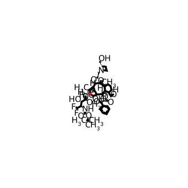 CC(=O)O[C@@]12CO[C@@H]1CC[C@@]1(C)[C@@H]3O[C@H](CN4CC[C@H]4CO)O[C@@H]3C3=C(C)[C@@H](OC(=O)[C@H](O)[C@@H](NC(=O)OC(C)(C)C)C(F)F)C[C@@](O)([C@@H](OC(=O)c4ccccc4)[C@@H]12)C3(C)C